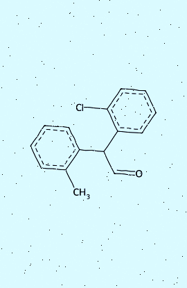 Cc1ccccc1C(C=O)c1ccccc1Cl